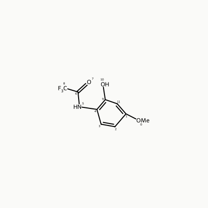 COc1ccc(NC(=O)C(F)(F)F)c(O)c1